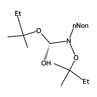 CCCCCCCCCN(OC(C)(C)CC)[C@H](O)OC(C)(C)CC